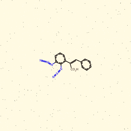 [N-]=[N+]=Nc1cccc(C(=Cc2ccccc2)C(=O)O)c1N=[N+]=[N-]